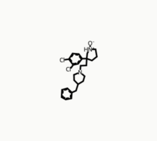 [O-][NH+]1CCCC(CCN2CCC(Cc3ccccc3)CC2)(c2ccc(Cl)c(Cl)c2)C1